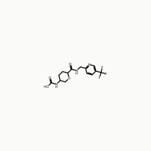 O=C(O)NC1CCC(C(=O)NCc2ccc(C(F)(F)F)cn2)OC1